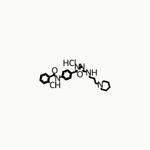 Cl.O=C(Nc1ccc(-c2nnc(NCCCN3CCCCC3)o2)cc1)c1ccccc1Cl